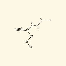 C#CC([CH]CCC)CCC